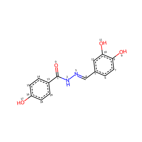 O=C(NN=Cc1ccc(O)c(O)c1)c1ccc(O)cc1